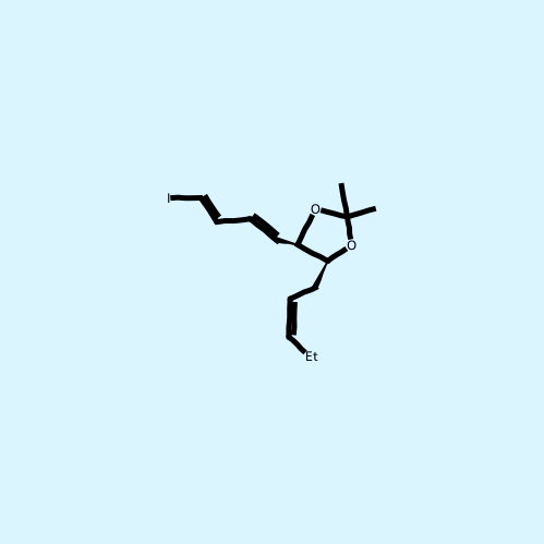 CC/C=C\C[C@@H]1OC(C)(C)O[C@@H]1/C=C/C=C/I